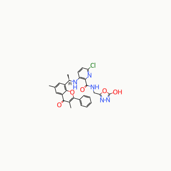 Cc1cc([C@@H](C)Nc2ccc(Cl)nc2C(=O)NCc2nnc(O)o2)c2oc(-c3ccccc3)c(C)c(=O)c2c1